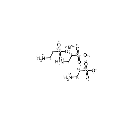 NCCS(=O)(=O)[O-].NCCS(=O)(=O)[O-].NCCS(=O)(=O)[O-].[B+3]